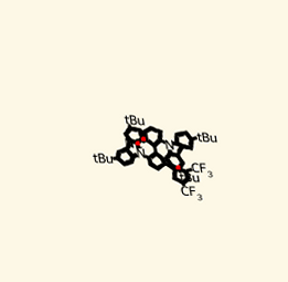 CC(C)(C)c1ccc2c(c1)c1cc(C(C)(C)C)ccc1n2-c1ccc(-c2cc(C(F)(F)F)cc(C(F)(F)F)c2)cc1-c1c(C#N)cccc1-n1c2ccc(C(C)(C)C)cc2c2cc(C(C)(C)C)ccc21